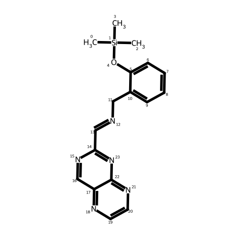 C[Si](C)(C)Oc1ccccc1CN=Cc1ncc2nccnc2n1